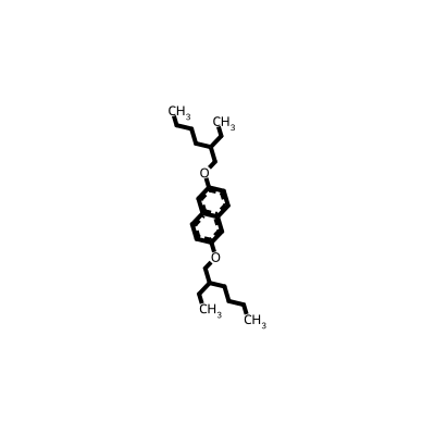 CCCCC(CC)COc1ccc2cc(OCC(CC)CCCC)ccc2c1